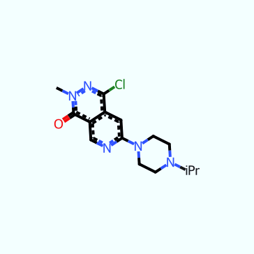 CC(C)N1CCN(c2cc3c(Cl)nn(C)c(=O)c3cn2)CC1